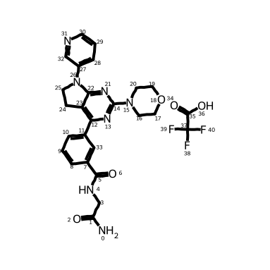 NC(=O)CNC(=O)c1cccc(-c2nc(N3CCOCC3)nc3c2CCN3c2cccnc2)c1.O=C(O)C(F)(F)F